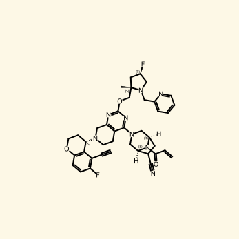 C#Cc1c(F)ccc2c1[C@@H](N1CCc3c(nc(OC[C@]4(C)C[C@@H](F)CN4Cc4ccccn4)nc3N3C[C@H]4CC(C#N)[C@@H](C3)N4C(=O)C=C)C1)CCO2